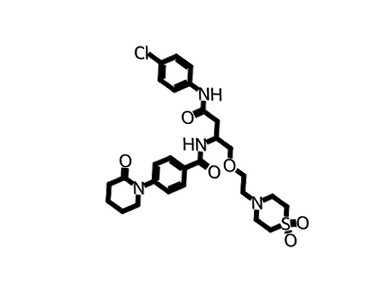 O=C(CC(COCCN1CCS(=O)(=O)CC1)NC(=O)c1ccc(N2CCCCC2=O)cc1)Nc1ccc(Cl)cc1